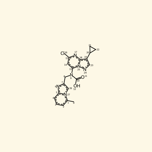 Cc1cccc2nc(CN(C(=O)O)c3cc(Cl)nc4c(C5CC5)cnn34)cn12